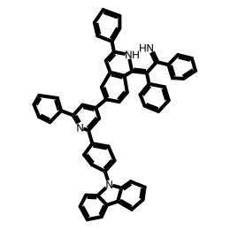 N=C(/C(=C1\NC(c2ccccc2)=Cc2cc(-c3cc(-c4ccccc4)nc(-c4ccc(-n5c6ccccc6c6ccccc65)cc4)c3)ccc21)c1ccccc1)c1ccccc1